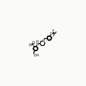 O=[N+]([O-])c1cc(CO)ccc1NC1CCCN(Cc2cccc(OC(F)(F)F)c2)C1